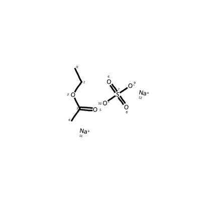 CCOC(C)=O.O=S(=O)([O-])[O-].[Na+].[Na+]